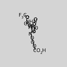 CN(CCOCCOCCOCCC(=O)O)Cc1cccc(C(=O)Nc2ccc(N3CCCCC3)cc2-c2cc(C(=O)NCc3cccc(C(F)(F)F)c3)ccn2)n1